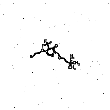 C[Si](C)(C)CCOCn1ncc(OCCBr)c(C(F)(F)F)c1=O